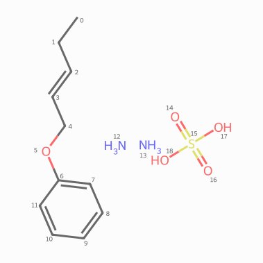 CCC=CCOc1ccccc1.N.N.O=S(=O)(O)O